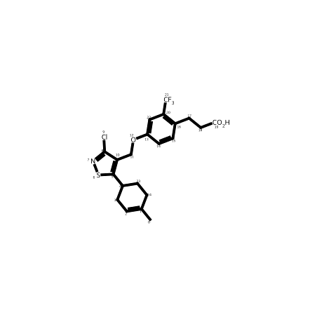 CC1=CCC(c2snc(Cl)c2COc2ccc(CCC(=O)O)c(C(F)(F)F)c2)CC1